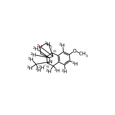 [2H]c1c([2H])c2c(c([2H])c1OC)[C@]13CCCCC1[C@@]([2H])(N(C([2H])([2H])[2H])C([2H])([2H])C3([2H])[2H])C2([2H])[2H]